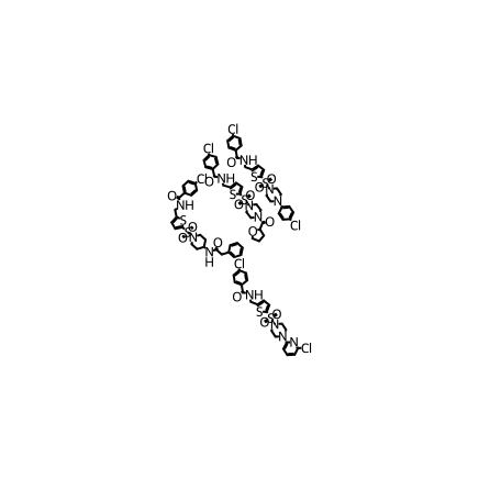 O=C(Cc1ccccc1)NC1CCN(S(=O)(=O)c2ccc(CNC(=O)c3ccc(Cl)cc3)s2)CC1.O=C(NCc1ccc(S(=O)(=O)N2CCN(C(=O)C3CCCO3)CC2)s1)c1ccc(Cl)cc1.O=C(NCc1ccc(S(=O)(=O)N2CCN(c3ccc(Cl)cc3)CC2)s1)c1ccc(Cl)cc1.O=C(NCc1ccc(S(=O)(=O)N2CCN(c3cccc(Cl)n3)CC2)s1)c1ccc(Cl)cc1